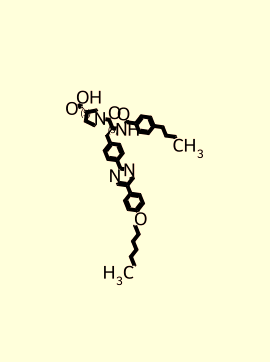 CCCCCCCOc1ccc(-c2cnc(-c3ccc(C[C@H](NC(=O)c4ccc(CCCC)cc4)C(=O)N4CC[C@H](C(=O)O)C4)cc3)nc2)cc1